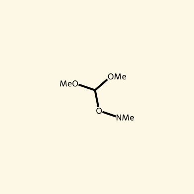 CNOC(OC)OC